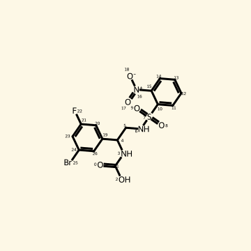 O=C(O)NC(CNS(=O)(=O)c1ccccc1[N+](=O)[O-])c1cc(F)cc(Br)c1